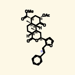 COC(=O)[C@@H]1C[C@H](OC(C)=O)C(=O)[C@H]2[C@@]1(C)CC[C@H]1C(=O)O[C@H](c3ccoc3/C=C/c3ccccc3)C[C@]21C